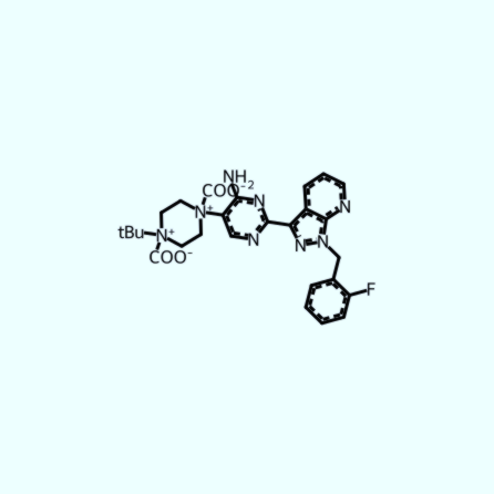 CC(C)(C)[N+]1(C(=O)[O-])CC[N+](C(=O)[O-])(c2cnc(-c3nn(Cc4ccccc4F)c4ncccc34)nc2N)CC1